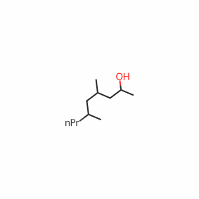 CCCC(C)CC(C)CC(C)O